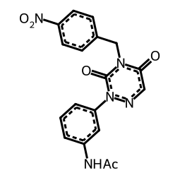 CC(=O)Nc1cccc(-n2ncc(=O)n(Cc3ccc([N+](=O)[O-])cc3)c2=O)c1